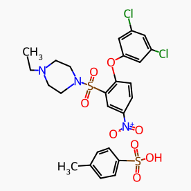 CCN1CCN(S(=O)(=O)c2cc([N+](=O)[O-])ccc2Oc2cc(Cl)cc(Cl)c2)CC1.Cc1ccc(S(=O)(=O)O)cc1